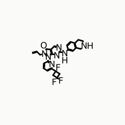 C=CCn1c(=O)c2cnc(Nc3ccc4c(c3)CNCC4)nc2n1-c1cccc(C2(F)CC(F)(F)C2)n1